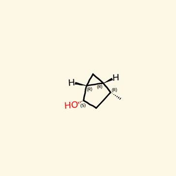 C[C@@H]1C[C@H](O)[C@@H]2C[C@@H]21